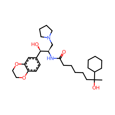 CC(O)(CCCCCC(=O)N[C@H](CN1CCCC1)[C@H](O)c1ccc2c(c1)OCCO2)C1CCCCC1